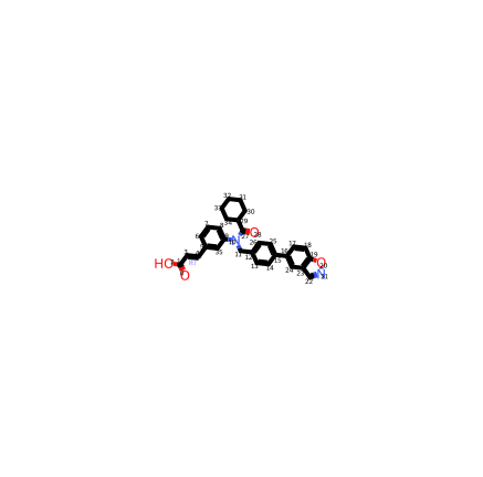 O=C(O)/C=C/c1cccc(N(Cc2ccc(-c3ccc4oncc4c3)cc2)C(=O)C2CCCCC2)c1